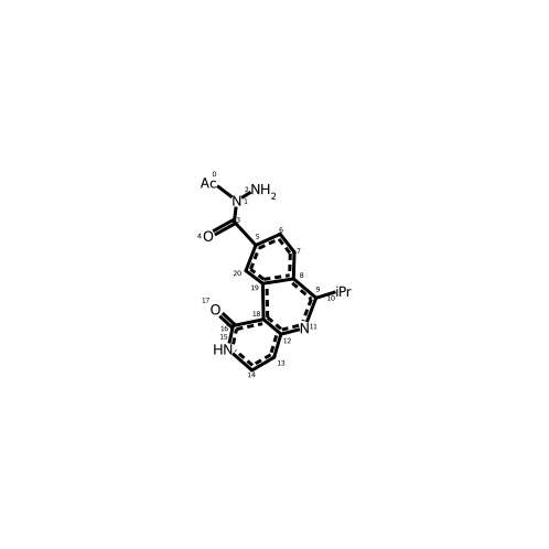 CC(=O)N(N)C(=O)c1ccc2c(C(C)C)nc3cc[nH]c(=O)c3c2c1